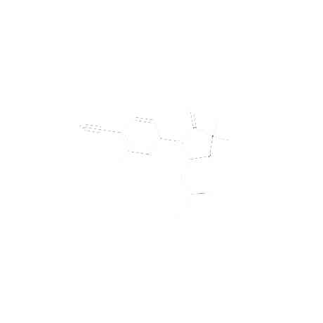 CC(C)CC1C(=O)C(C)(C)C(=O)N1c1ccc(C#N)c(Cl)c1